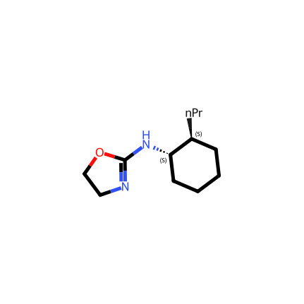 CCC[C@H]1CCCC[C@@H]1NC1=NCCO1